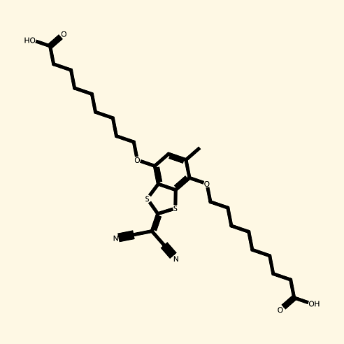 Cc1cc(OCCCCCCCCC(=O)O)c2c(c1OCCCCCCCCC(=O)O)SC(=C(C#N)C#N)S2